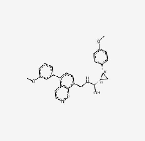 COc1ccc([C@@H]2C[C@@H]2C(O)NCc2ccc(-c3cccc(OC)c3)c3ccncc23)cc1